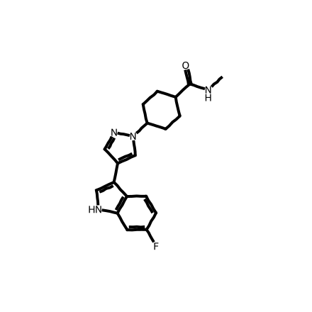 CNC(=O)C1CCC(n2cc(-c3c[nH]c4cc(F)ccc34)cn2)CC1